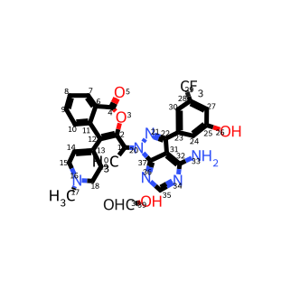 CC(c1oc(=O)c2ccccc2c1C1=CCN(C)CC1)n1nc(-c2cc(O)cc(C(F)(F)F)c2)c2c(N)ncnc21.O=CO